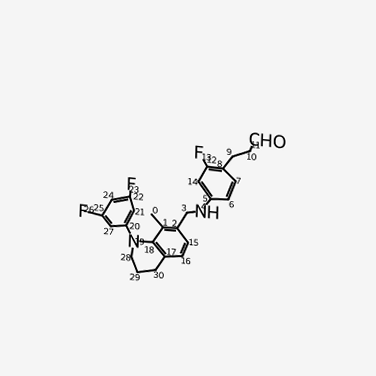 Cc1c(CNc2ccc(CCC=O)c(F)c2)ccc2c1N(c1cc(F)cc(F)c1)CCC2